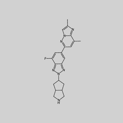 Cc1cn2nc(-c3cc(F)c4nn(C5CC6CNCC6C5)nc4c3)cc(C)c2n1